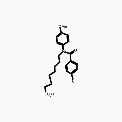 COc1ccc(N(CCCCCCCC(=O)O)C(=O)c2ccc(Cl)cc2)cc1